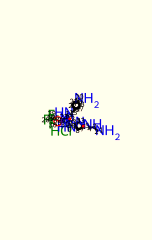 Cl.NCCCNc1ccc(Nc2nc(NCc3ccc(N)cc3)nc(OCC(F)(F)F)n2)cn1